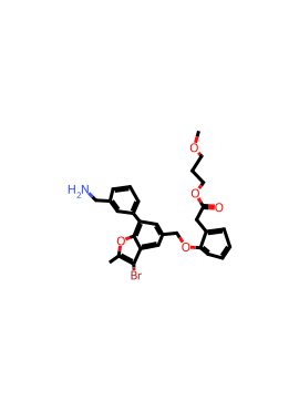 COCCCOC(=O)Cc1ccccc1OCc1cc(-c2cccc(CN)c2)c2oc(C)c(Br)c2c1